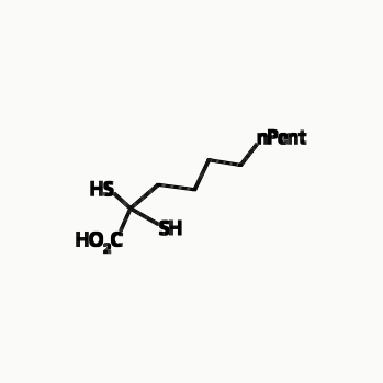 CCCCCCCCCC(S)(S)C(=O)O